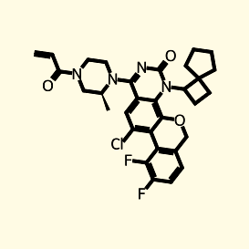 C=CC(=O)N1CCN(c2nc(=O)n(C3CCC34CCCC4)c3c4c(c(Cl)cc23)-c2c(ccc(F)c2F)CO4)[C@@H](C)C1